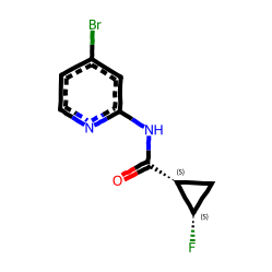 O=C(Nc1cc(Br)ccn1)[C@@H]1C[C@@H]1F